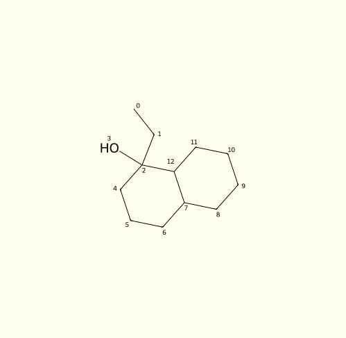 CCC1(O)CCCC2CCCCC21